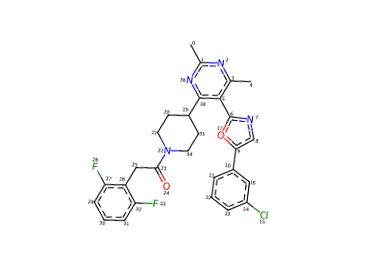 Cc1nc(C)c(-c2ncc(-c3cccc(Cl)c3)o2)c(C2CCN(C(=O)Cc3c(F)cccc3F)CC2)n1